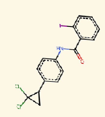 O=C(Nc1ccc(C2CC2(Cl)Cl)cc1)c1ccccc1I